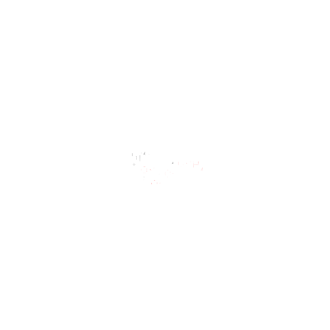 [Hf+4].[O-2].[O-2].[O-2].[OH4+2]